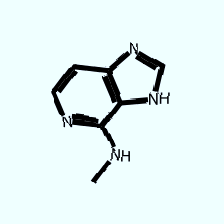 CNc1nccc2nc[nH]c12